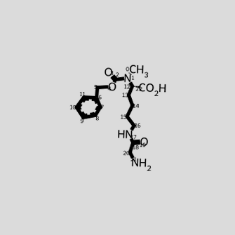 CN(C(=O)OCc1ccccc1)[C@@H](CCCCNC(=O)CN)C(=O)O